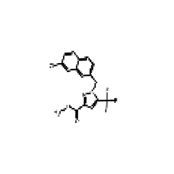 COC(=O)c1cc(C(F)(F)F)n(Cc2ccc3ccc(Cl)cc3c2)n1